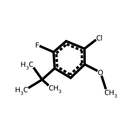 COc1cc(C(C)(C)C)c(F)cc1Cl